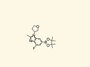 Cc1nc2c(F)cc(B3OC(C)(C)C(C)(C)O3)cc2n1C1CCOC1